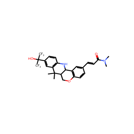 CN(C)C(=O)/C=C/c1ccc2c(c1)C1Nc3ccc(C(O)(C(F)(F)F)C(F)(F)F)cc3C(C)(C)C1CO2